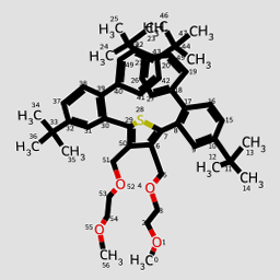 COCCOCc1c(-c2cc(C(C)(C)C)ccc2-c2ccc(C(C)(C)C)cc2)sc(-c2cc(C(C)(C)C)ccc2-c2ccc(C(C)(C)C)cc2)c1COCCOC